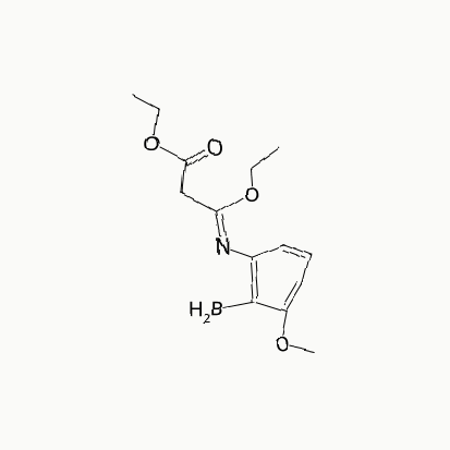 Bc1c(/N=C(/CC(=O)OCC)OCC)cccc1OC